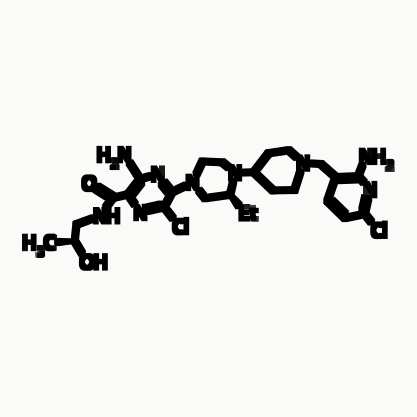 CC[C@H]1CN(c2nc(N)c(C(=O)NC[C@H](C)O)nc2Cl)CCN1C1CCN(Cc2ccc(Cl)nc2N)CC1